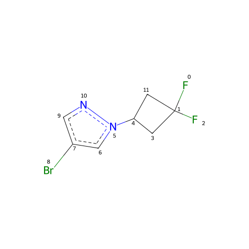 FC1(F)CC(n2cc(Br)cn2)C1